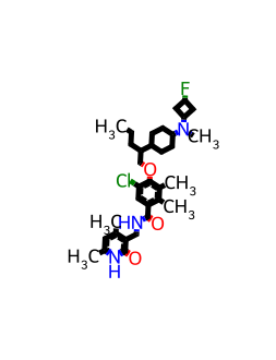 CCCC(COc1c(Cl)cc(C(=O)NCc2c(C)cc(C)[nH]c2=O)c(C)c1C)C1CCC(N(C)C2CC(F)C2)CC1